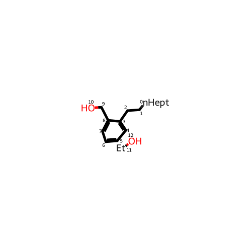 CCCCCCCCCc1ccccc1CO.CCO